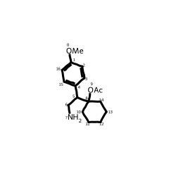 COc1ccc(C(CN)C2(OC(C)=O)CCCCC2)cc1